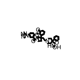 COc1cccc(C2(CCN3CCC(C(=O)NO)(c4ccccc4)CC3)CCN(C(=O)c3cc(-n4cnnn4)ccc3OC)C2)c1